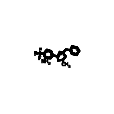 CC1CC(c2ccc(C(F)(F)F)c(N)c2)=CN(Cc2ccccc2)C1